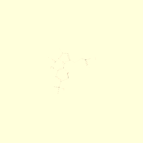 Cc1cc(CCC(=O)O)n2c1c(=O)[nH]c1cc(C(F)(F)F)ccc12